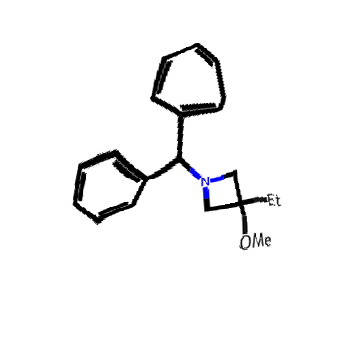 CCC1(OC)CN(C(c2ccccc2)c2ccccc2)C1